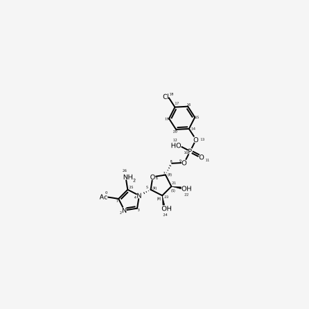 CC(=O)c1ncn([C@@H]2O[C@H](COP(=O)(O)Oc3ccc(Cl)cc3)[C@@H](O)[C@H]2O)c1N